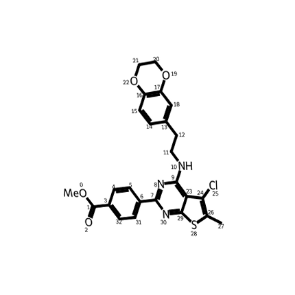 COC(=O)c1ccc(-c2nc(NCCc3ccc4c(c3)OCCO4)c3c(Cl)c(C)sc3n2)cc1